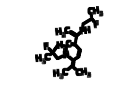 C=C(/C=C\C(=C(C)C)N1CCC(C)(F)C1)C(=C)PCC(C)F